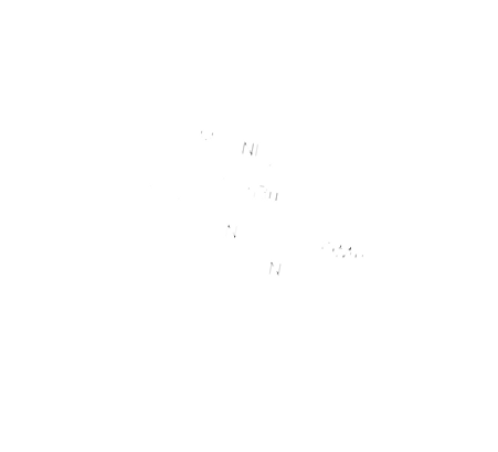 CCCCC(Cc1ccccc1)(CN1CCN(c2ccccc2OC)CC1)C(N)=O